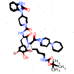 CC(C)(C)OC(=O)NCCCC[C@H](NC(=O)[C@@H](Cc1cc(Br)c(O)c(Br)c1)NC(=O)N1CCC(n2c(=O)[nH]c3ccccc32)CC1)C(=O)N1CCC(N2CCCCC2)CC1